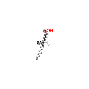 CCCCCCCCCCCCCCCCCC(=O)O.[Cu].[MgH2]